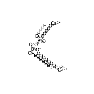 O.O.O.O.O.O.O.O.O.O.O.O.[Ca+2].[Ca+2].[Ca+2].[O-]B([O-])[O-].[O-]B([O-])[O-]